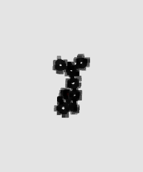 c1ccc(-c2cc(-c3ccc(-c4ccc5c(c4)C4(c6ccccc6Sc6ccccc64)c4ccccc4-5)cc3)nc(-c3ccccc3)n2)cc1